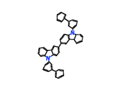 C1=CC2c3cc(-c4ccc5c(c4)c4ccccc4n5-c4cccc(-c5ccccc5)c4)ccc3N(c3cccc(-c4ccccc4)c3)C2C=C1